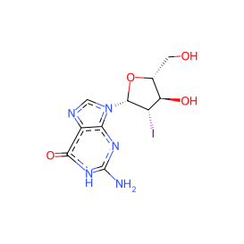 Nc1nc2c(ncn2[C@@H]2O[C@H](CO)[C@@H](O)[C@@H]2I)c(=O)[nH]1